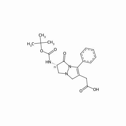 CC(C)(C)OC(=O)N[C@H]1CN2CC(CC(=O)O)=C(c3ccccc3)N2C1=O